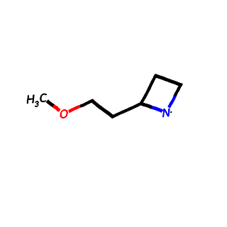 COCCC1CC[N]1